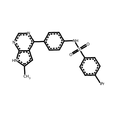 Cc1cc2c(-c3ccc(NS(=O)(=O)c4ccc(C(C)C)cc4)cc3)ncnc2[nH]1